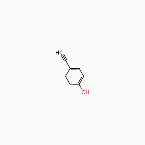 C#CC1=CC=C(O)CC1